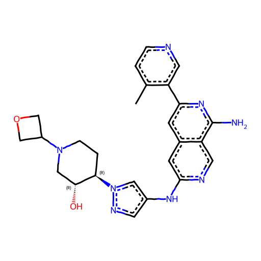 Cc1ccncc1-c1cc2cc(Nc3cnn([C@@H]4CCN(C5COC5)C[C@H]4O)c3)ncc2c(N)n1